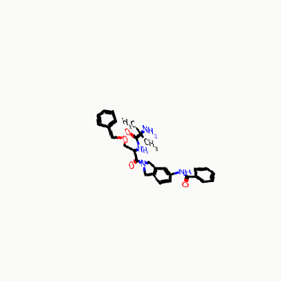 CC(C)(N)C(=O)NC(COCc1ccccc1)C(=O)N1Cc2ccc(NC(=O)c3ccccc3)cc2C1